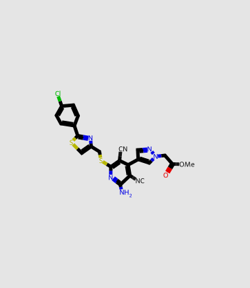 [C-]#[N+]c1c(N)nc(SCc2csc(-c3ccc(Cl)cc3)n2)c(C#N)c1-c1cnn(CC(=O)OC)c1